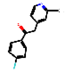 Cc1cc(CC(=O)c2ccc(F)cc2)ccn1